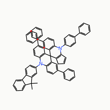 CC1(C)c2ccccc2-c2ccc(N3c4ccc(-c5ccccc5)cc4C4(C5=C(C=CC5)N(c5ccc(-c6ccccc6)cc5)c5ccc(-c6ccccc6)cc54)c4cc(-c5ccccc5)ccc43)cc21